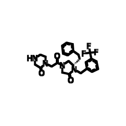 O=C1CNCCN1CC(=O)N1CC(=O)N(Cc2cccc(C(F)(F)F)c2)[C@@H](CCc2ccccc2)C1